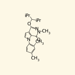 Cc1ccc(-n2ccc3c(OC(C(C)C)C(C)C)nn(C)c(=O)c32)c(C)c1